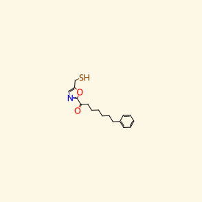 O=C(CCCCCCc1ccccc1)c1ncc(CS)o1